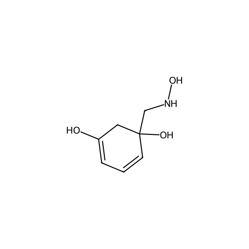 ONCC1(O)C=CC=C(O)C1